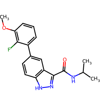 COc1cccc(-c2ccc3[nH]nc(C(=O)NC(C)C)c3c2)c1F